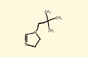 CC(C)(C)CN1C=NCC1